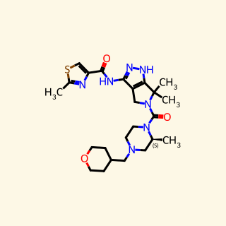 Cc1nc(C(=O)Nc2n[nH]c3c2CN(C(=O)N2CCN(CC4CCOCC4)C[C@@H]2C)C3(C)C)cs1